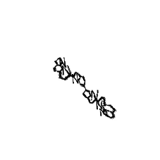 c1cnc2c(c1)ccc1ccc(-c3ccc4ccc(-c5ccc6ccc(-c7ccc8ccc9cccnc9c8n7)nc6c5)cc4n3)nc12